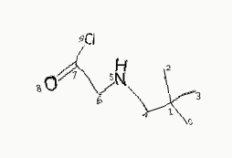 CC(C)(C)CNCC(=O)Cl